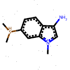 Cn1cc(N)c2ccc([SH](C)C)cc21